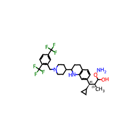 C[C@H](C(O)ON)[C@H](c1ccc2c(c1)NC(C1CCN(Cc3cc(C(F)(F)F)ccc3C(F)(F)F)CC1)CC2)C1CC1